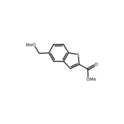 COCc1ccc2sc(C(=O)OC)cc2c1